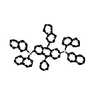 c1ccc(-c2c3ccc(N(c4ccc5ccccc5c4)c4cccc5ccccc45)cc3c(-c3ccc4ccccc4c3)c3ccc(N(c4ccc5ccccc5c4)c4cccc5ccccc45)cc23)cc1